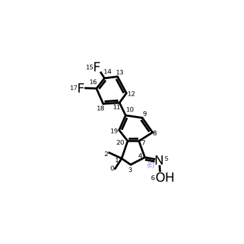 CC1(C)C/C(=N\O)c2ccc(-c3ccc(F)c(F)c3)cc21